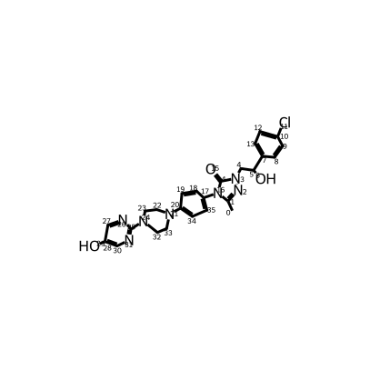 Cc1nn(CC(O)c2ccc(Cl)cc2)c(=O)n1-c1ccc(N2CCN(c3ncc(O)cn3)CC2)cc1